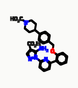 CCOC(=O)c1cnn(-c2cccc(-c3ccccc3OCc3ccc(C4CCN(C(=O)O)CC4)cc3)n2)c1N